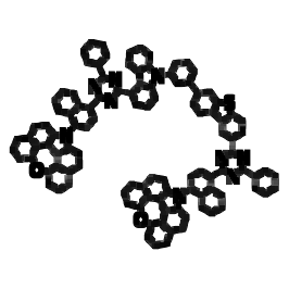 c1ccc(-c2nc(-c3ccc4sc5cc(-c6cccc(-n7c8ccccc8c8c(-c9nc(-c%10ccccc%10)nc(-c%10ccc(-n%11c%12ccc%13cccc%14oc%15cccc%16ccc%11c(c%16%15)c%12c%13%14)c%11ccccc%10%11)n9)cccc87)c6)ccc5c4c3)nc(-c3ccc(-n4c5ccc6cccc7oc8cccc9ccc4c(c98)c5c67)c4ccccc34)n2)cc1